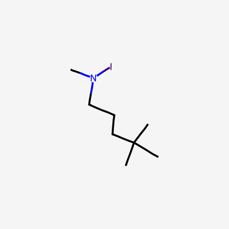 CN(I)CCCC(C)(C)C